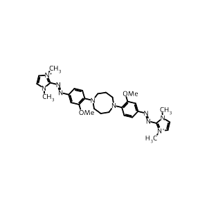 COc1cc(N=Nc2n(C)cc[n+]2C)ccc1N1CCCN(c2ccc(N=Nc3n(C)cc[n+]3C)cc2OC)CCC1